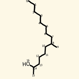 CCCCCCCCC(C)CCCCC(C)O